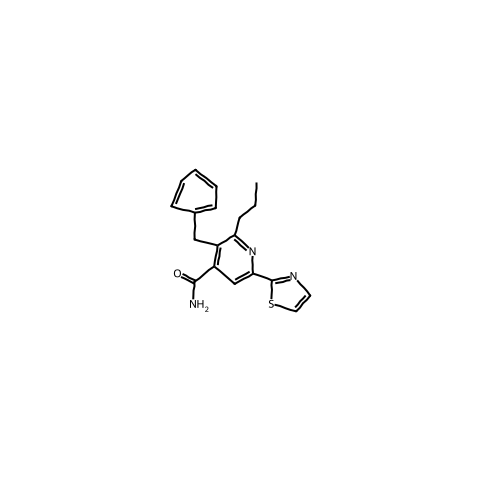 CCCc1nc(-c2nccs2)cc(C(N)=O)c1Cc1ccccc1